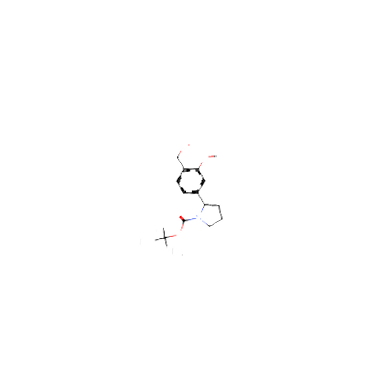 COc1cc(C2CCCN2C(=O)OC(C)(C)C)ccc1CO